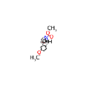 CCOC(=O)N1CC[C@]23CCCC[C@H]2[C@H]1Cc1ccc(OCC)cc13